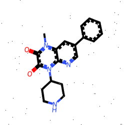 Cn1c(=O)c(=O)n(C2CCNCC2)c2ncc(-c3ccccc3)cc21